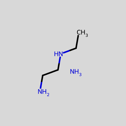 CCNCCN.N